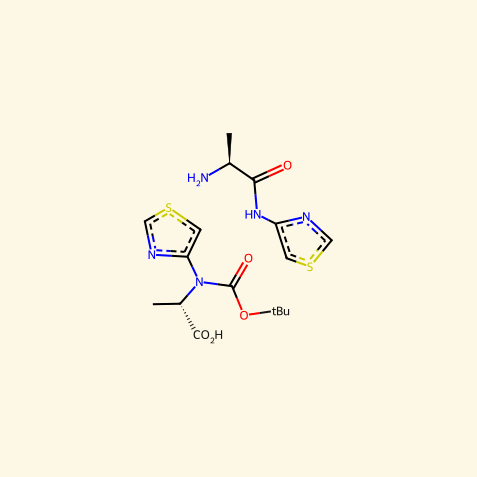 C[C@@H](C(=O)O)N(C(=O)OC(C)(C)C)c1cscn1.C[C@H](N)C(=O)Nc1cscn1